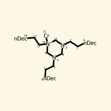 CCCCCCCCCCCCN1CN(CCCCCCCCCCCC)C[N+]([Cr])(CCCCCCCCCCCC)C1